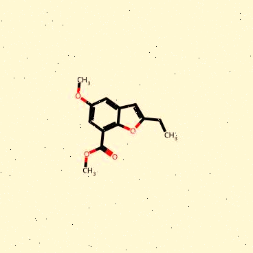 CCc1cc2cc(OC)cc(C(=O)OC)c2o1